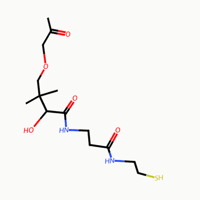 CC(=O)COCC(C)(C)C(O)C(=O)NCCC(=O)NCCS